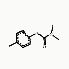 Cc1ccc(OC(=O)N(C)I)cc1